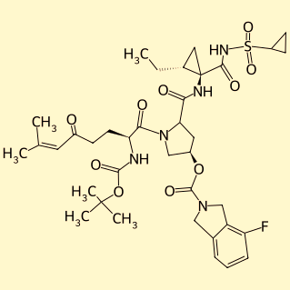 CC[C@@H]1C[C@]1(NC(=O)C1C[C@@H](OC(=O)N2Cc3cccc(F)c3C2)CN1C(=O)[C@H](CCC(=O)C=C(C)C)NC(=O)OC(C)(C)C)C(=O)NS(=O)(=O)C1CC1